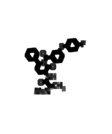 CN[C@@H](C)C(=O)Nc1ccc(-c2ccccc2)n(C(=O)c2cccc(Sc3ccc(F)cc3)c2)c1=O